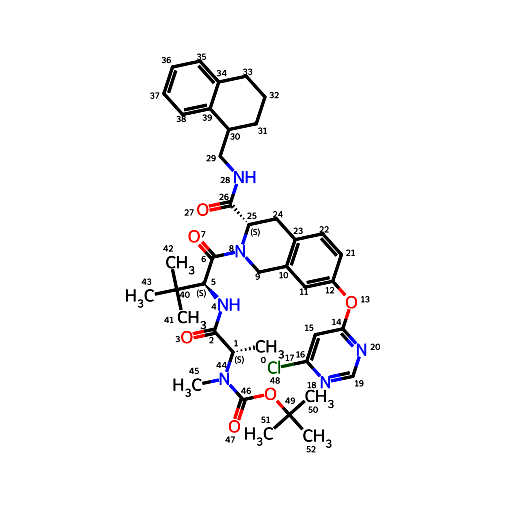 C[C@@H](C(=O)N[C@H](C(=O)N1Cc2cc(Oc3cc(Cl)ncn3)ccc2C[C@H]1C(=O)NCC1CCCc2ccccc21)C(C)(C)C)N(C)C(=O)OC(C)(C)C